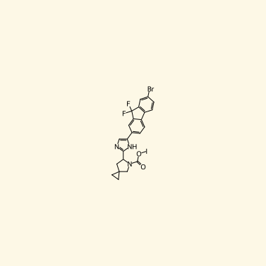 O=C(OI)N1CC2(CC2)CC1c1ncc(-c2ccc3c(c2)C(F)(F)c2cc(Br)ccc2-3)[nH]1